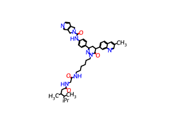 Cc1cnc2cc(C3CC(c4ccc(NC(=O)N5Cc6ccncc6C5)cc4)=NN(CCCCCCNC(=O)CNC(=O)CC(C)C(C)C(C)C)C3=O)ccc2c1